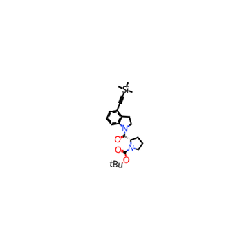 CC(C)(C)OC(=O)N1CCC[C@H]1C(=O)N1CCc2c(C#C[Si](C)(C)C)cccc21